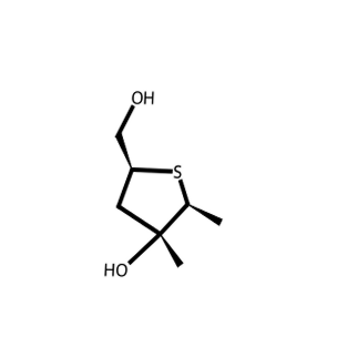 C[C@@H]1S[C@H](CO)C[C@@]1(C)O